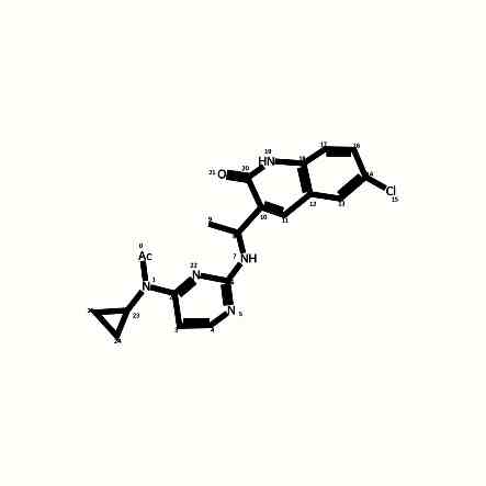 CC(=O)N(c1ccnc(NC(C)c2cc3cc(Cl)ccc3[nH]c2=O)n1)C1CC1